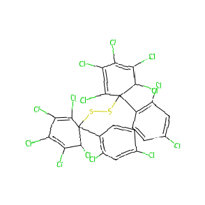 ClC1=C(Cl)C(Cl)C(SSC2(c3ccc(Cl)cc3Cl)C(Cl)=C(Cl)C(Cl)=C(Cl)C2Cl)(c2ccc(Cl)cc2Cl)C(Cl)=C1Cl